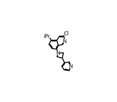 CC(C)c1ccc(N2CC(c3cccnc3)C2)c2cnc(Cl)cc12